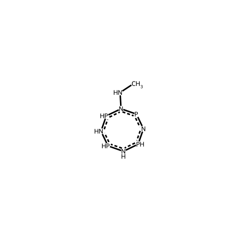 CNn1pn[pH][nH][pH][nH][pH]1